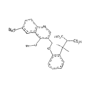 COc1ccc2ncc(COc3ccccc3C(C)(C)C(C(=O)O)C(=O)O)c(OC(C)C)c2c1